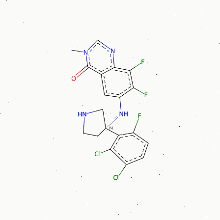 Cn1cnc2c(F)c(F)c(N[C@]3(c4c(F)ccc(Cl)c4Cl)CCNC3)cc2c1=O